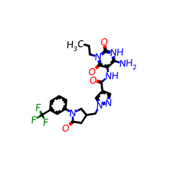 CCCn1c(=O)[nH]c(N)c(NC(=O)c2cnn(CC3CC(=O)N(c4cccc(C(F)(F)F)c4)C3)c2)c1=O